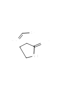 C=[CH][Al+2].O=C1CCCN1.[O-2]